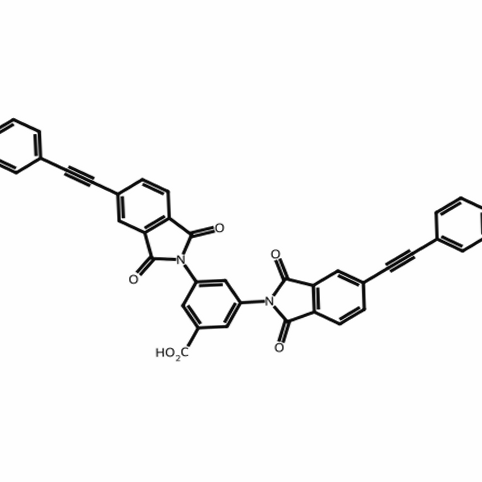 O=C(O)c1cc(N2C(=O)c3ccc(C#Cc4ccccc4)cc3C2=O)cc(N2C(=O)c3ccc(C#Cc4ccccc4)cc3C2=O)c1